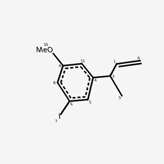 C=C[C](C)c1cc(I)cc(OC)c1